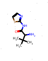 CC(C)(C)C(N)C(=O)Nc1nccs1